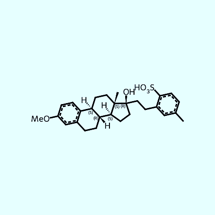 COc1ccc2c(c1)CC[C@@H]1[C@@H]2CC[C@@]2(C)[C@H]1CC[C@@]2(O)CCc1cc(C)ccc1S(=O)(=O)O